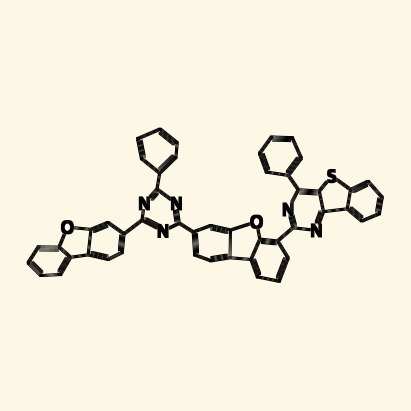 c1ccc(-c2nc(-c3ccc4c(c3)oc3ccccc34)nc(-c3ccc4c(c3)oc3c(-c5nc(-c6ccccc6)c6sc7ccccc7c6n5)cccc34)n2)cc1